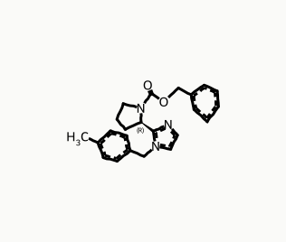 Cc1ccc(Cn2ccnc2[C@H]2CCCN2C(=O)OCc2ccccc2)cc1